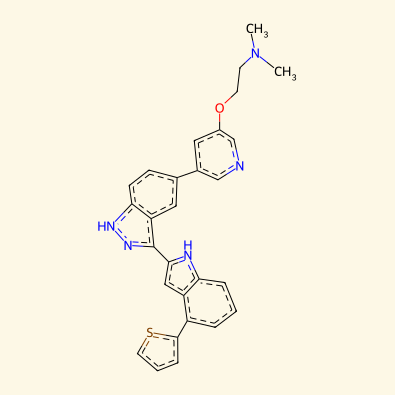 CN(C)CCOc1cncc(-c2ccc3[nH]nc(-c4cc5c(-c6cccs6)cccc5[nH]4)c3c2)c1